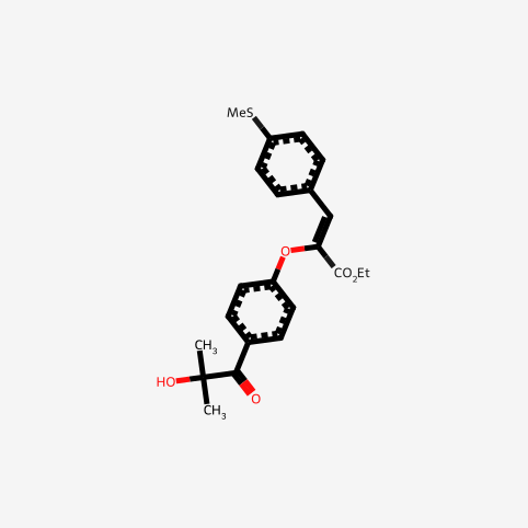 CCOC(=O)C(=Cc1ccc(SC)cc1)Oc1ccc(C(=O)C(C)(C)O)cc1